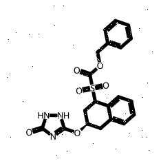 O=C(OCc1ccccc1)S(=O)(=O)C1C[C@H](Oc2nc(=O)[nH][nH]2)Cc2ccccc21